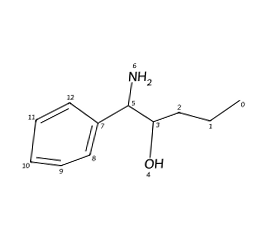 CCCC(O)C(N)c1ccccc1